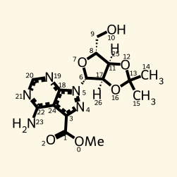 COC(=O)c1nn([C@@H]2O[C@H](CO)[C@H]3OC(C)(C)O[C@H]32)c2ncnc(N)c12